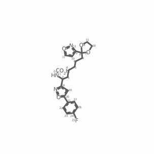 O=C(O)NC(CCCCCC1(c2ccon2)OCCO1)c1cc(-c2ccc(F)cc2)on1